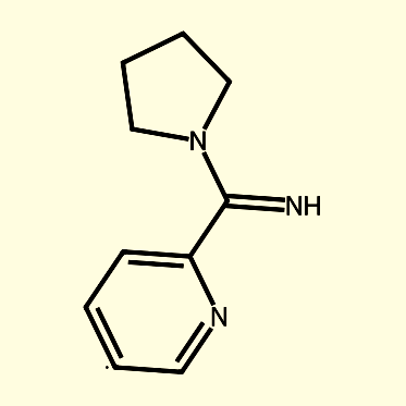 N=C(c1cc[c]cn1)N1CCCC1